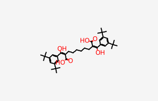 CC(C)(C)c1cc(C(O)=C(CCCCCCC(C(=O)O)=C(O)c2cc(C(C)(C)C)cc(C(C)(C)C)c2)C(=O)O)cc(C(C)(C)C)c1